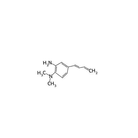 C=C/C=C/c1ccc(N(C)C)c(N)c1